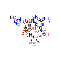 CCn1nnc([C@H]2O[C@@H](n3cnc4c(N)nc(N(CO)CCc5ccccc5)nc43)[C@H](O)[C@@H]2OS(C)(=O)=O)n1